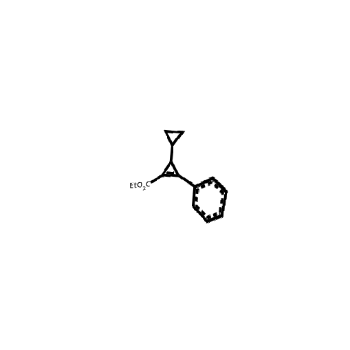 CCOC(=O)C1=C(c2ccccc2)C1C1CC1